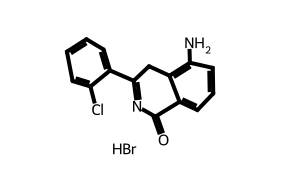 Br.Nc1cccc2c1CC(c1ccccc1Cl)=NC2=O